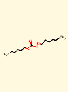 CCCCCCOOC(=O)OCCCCCC